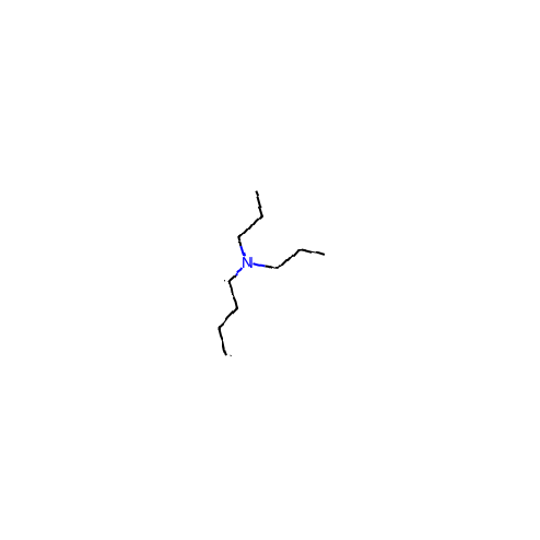 [CH2]CC[CH]N(CCC)CCC